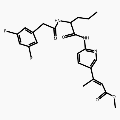 CCCC(NC(=O)Cc1cc(F)cc(F)c1)C(=O)Nc1ccc(C(C)=CC(=O)OC)cn1